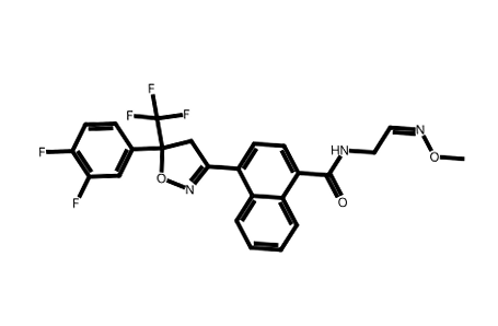 CO/N=C\CNC(=O)c1ccc(C2=NOC(c3ccc(F)c(F)c3)(C(F)(F)F)C2)c2ccccc12